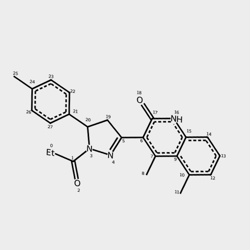 CCC(=O)N1N=C(c2c(C)c3c(C)cccc3[nH]c2=O)CC1c1ccc(C)cc1